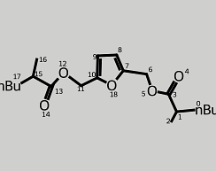 CCCCC(C)C(=O)OCc1ccc(COC(=O)C(C)CCCC)o1